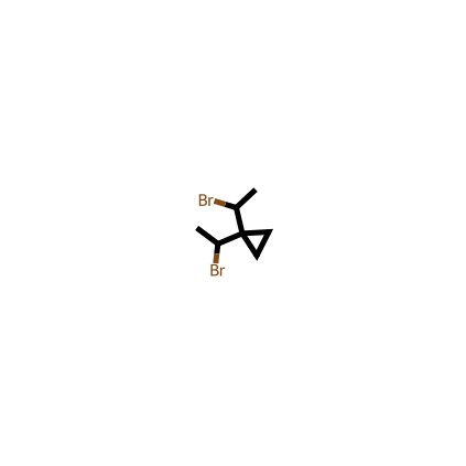 CC(Br)C1(C(C)Br)CC1